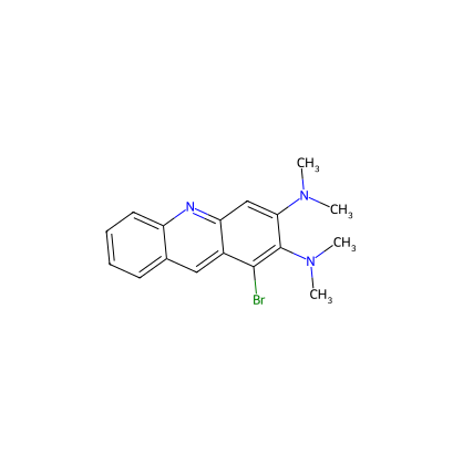 CN(C)c1cc2nc3ccccc3cc2c(Br)c1N(C)C